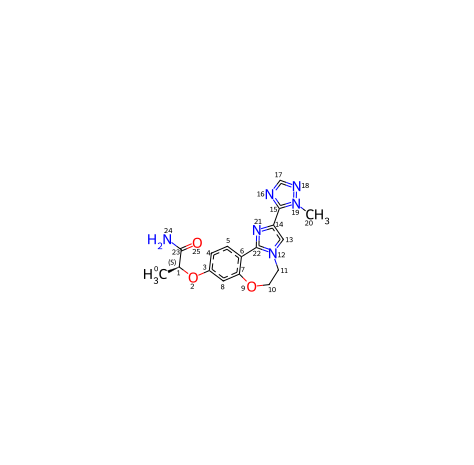 C[C@H](Oc1ccc2c(c1)OCCn1cc(-c3ncnn3C)nc1-2)C(N)=O